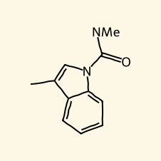 CNC(=O)n1cc(C)c2ccccc21